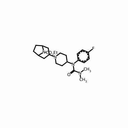 CCOC(=O)N1C2CCC1CC(N1CCC(N(C(=O)N(C)C)c3ccc(F)cc3)CC1)C2